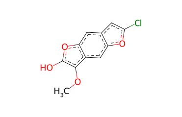 COc1c(O)oc2cc3cc(Cl)oc3cc12